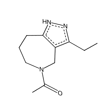 CCc1n[nH]c2c1CN(C(C)=O)CCC2